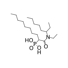 CCCCCCCCC(C(=O)N(CC)C(CC)CCCCC)P(=O)(O)O